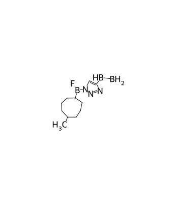 BBc1cn(B(F)C2CCCC(C)CCC2)nn1